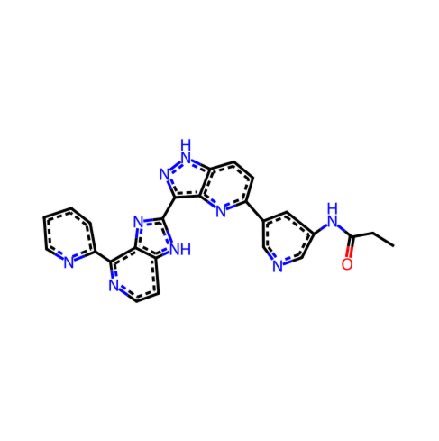 CCC(=O)Nc1cncc(-c2ccc3[nH]nc(-c4nc5c(-c6ccccn6)nccc5[nH]4)c3n2)c1